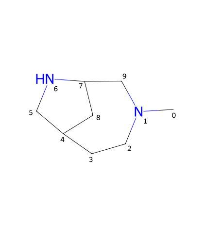 CN1CCC2CNC(C2)C1